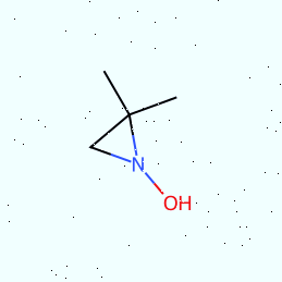 CC1(C)CN1O